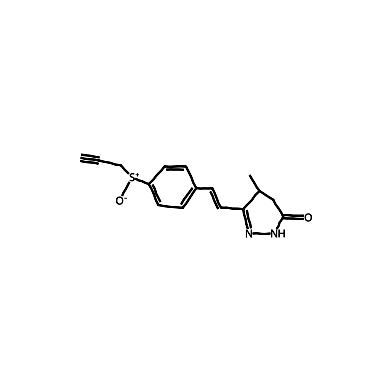 C#CC[S+]([O-])c1ccc(C=CC2=NNC(=O)CC2C)cc1